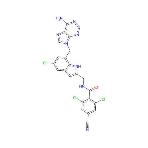 N#Cc1cc(Cl)c(C(=O)NCc2cc3cc(Cl)cc(Cn4cnc5c(N)ncnc54)c3[nH]2)c(Cl)c1